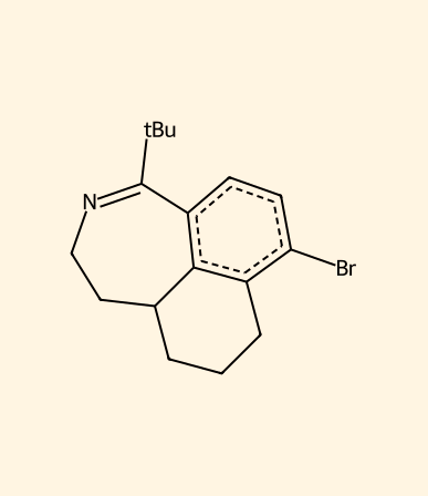 CC(C)(C)C1=NCCC2CCCc3c(Br)ccc1c32